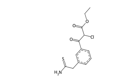 CCOC(=O)C(Cl)C(=O)c1cccc(CC(N)=S)c1